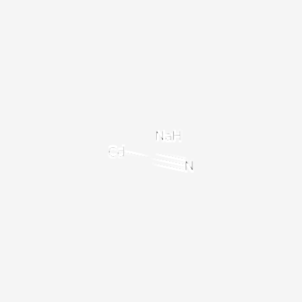 N#[C][Cd].[NaH]